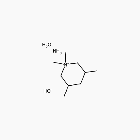 CC1CC(C)C[N+](C)(C)C1.N.O.[OH-]